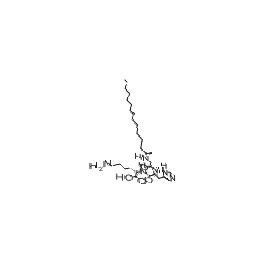 C=C(CCCCCCCCCCCCC)NCC(=O)N[C@@H](Cc1cnc[nH]1)C(=O)N[C@@H](CCCCN)C(=O)O